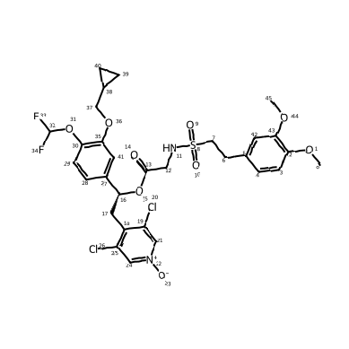 COc1ccc(CCS(=O)(=O)NCC(=O)O[C@@H](Cc2c(Cl)c[n+]([O-])cc2Cl)c2ccc(OC(F)F)c(OCC3CC3)c2)cc1OC